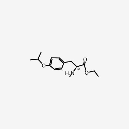 CCOC(=O)[C@@H](N)Cc1ccc(OC(C)C)cc1